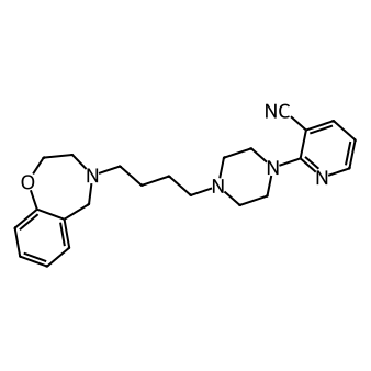 N#Cc1cccnc1N1CCN(CCCCN2CCOc3ccccc3C2)CC1